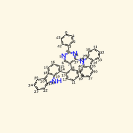 c1ccc(-c2ncc(-c3ccccc3-c3cccc4c3[nH]c3ccccc34)c(-n3c4ccccc4c4ccccc43)n2)cc1